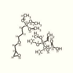 C=C[Si](OC)(OC)OC.CO[Si](CCCOCC1CO1)(OC)OC.[O]=[Ti]([OH])[OH]